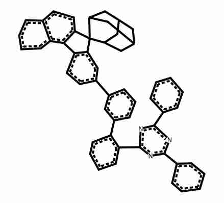 c1ccc(-c2nc(-c3ccccc3)nc(-c3ccccc3-c3cccc(-c4ccc5c(c4)C4(c6ccc7ccccc7c6-5)C5CC6CC(C5)CC4C6)c3)n2)cc1